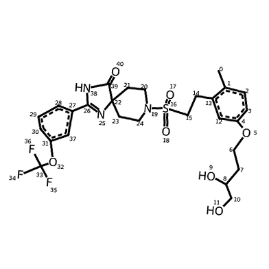 Cc1ccc(OCCC(O)CO)cc1CCS(=O)(=O)N1CCC2(CC1)N=C(c1cccc(OC(F)(F)F)c1)NC2=O